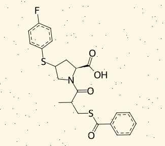 CC(CSC(=O)c1ccccc1)C(=O)N1CC(Sc2ccc(F)cc2)C[C@H]1C(=O)O